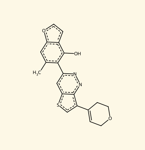 Cc1cc2occc2c(O)c1-c1cc2scc(C3=CCOCC3)c2nn1